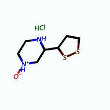 Cl.[O-][NH+]1CCNC(C2CCSS2)C1